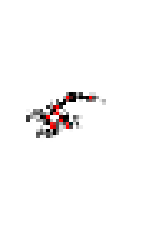 CCCCOc1ccc(CCCC[C@@H](C(=O)O)N2CCN([C@@H](CO)C(=O)O)CCN([C@@H](CO)C(=O)O)CCN([C@@H](CO)C(=O)O)CC2)cc1.[Gd]